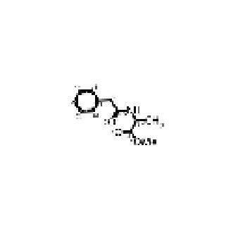 COC(=O)C(C)NC(=O)Cc1ccccc1